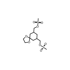 CS(=O)(=O)OCC1CC(COS(C)(=O)=O)CC2(C1)OCCO2